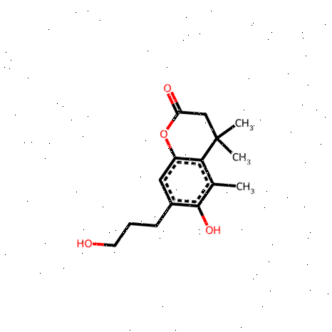 Cc1c(O)c(CCCO)cc2c1C(C)(C)CC(=O)O2